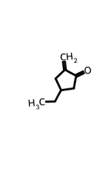 C=C1CC(CC)CC1=O